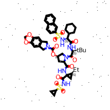 CC[C@H]1C[C@@]1(NC(=O)C1C[C@@H](OC(=O)N2Cc3cc4c(cc3C2)OCO4)CN1C(=O)[C@@H](NC(=O)[C@@H](NS(=O)(=O)c1ccc2ccccc2c1)C1CCCCC1)C(C)(C)C)C(=O)NS(=O)(=O)C1CC1